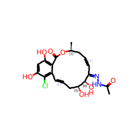 CC(=O)NN=C1/C=C\C[C@H](C)OC(=O)c2c(O)cc(O)c(Cl)c2/C=C/C[C@H](O)[C@@H]1O